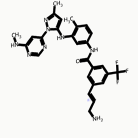 CNc1cc(-n2nc(C)cc2Nc2cc(NC(=O)c3cc(/C=C/CN)cc(C(F)(F)F)c3)ccc2C)ncn1